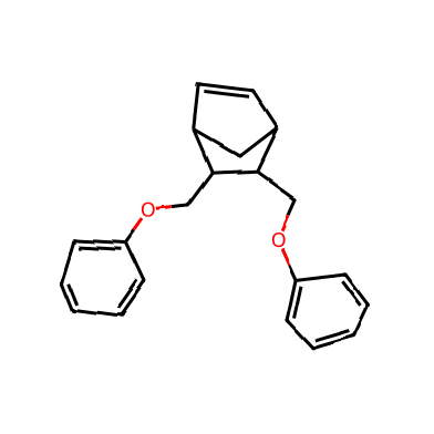 C1=CC2CC1C(COc1ccccc1)C2COc1ccccc1